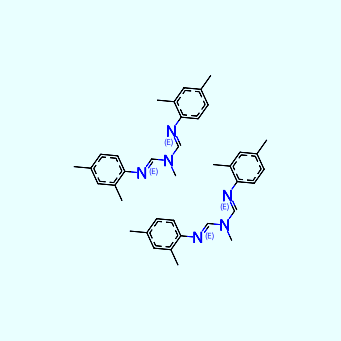 Cc1ccc(/N=C/N(C)/C=N/c2ccc(C)cc2C)c(C)c1.Cc1ccc(/N=C/N(C)/C=N/c2ccc(C)cc2C)c(C)c1